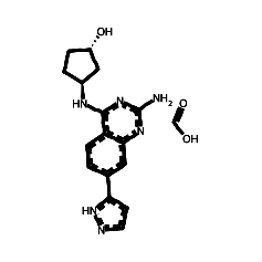 Nc1nc(N[C@H]2CC[C@H](O)C2)c2ccc(-c3ccn[nH]3)cc2n1.O=CO